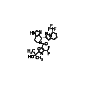 CC(C)(O)c1nc(C(F)F)c(C(=O)N2CCc3[nH]cnc3[C@@H]2c2cc3cccc(C(F)(F)F)n3n2)o1